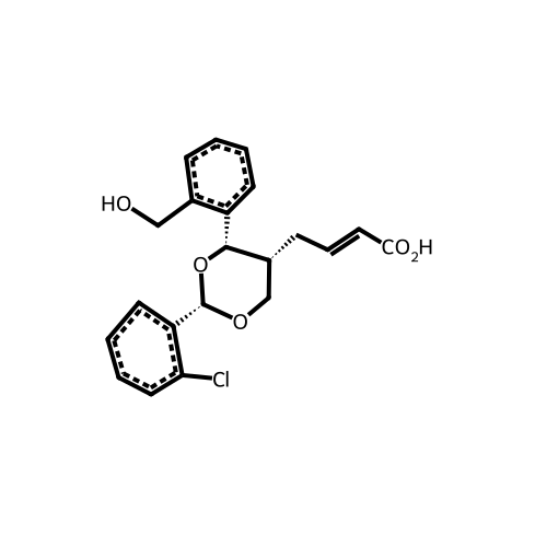 O=C(O)/C=C/C[C@@H]1CO[C@H](c2ccccc2Cl)O[C@@H]1c1ccccc1CO